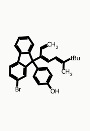 C=C/C(=C\C=C(/C)C(C)(C)C)C1(c2ccc(O)cc2)c2ccccc2-c2ccc(Br)cc21